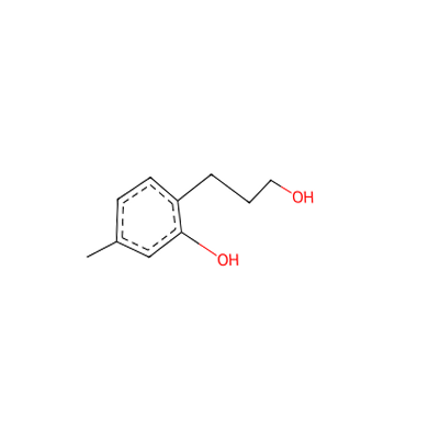 Cc1ccc(CCCO)c(O)c1